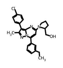 CCc1cccc(-c2cc(N3CCCC3CO)nc3c(-c4ccc(Cl)cc4)c(C)nn23)c1